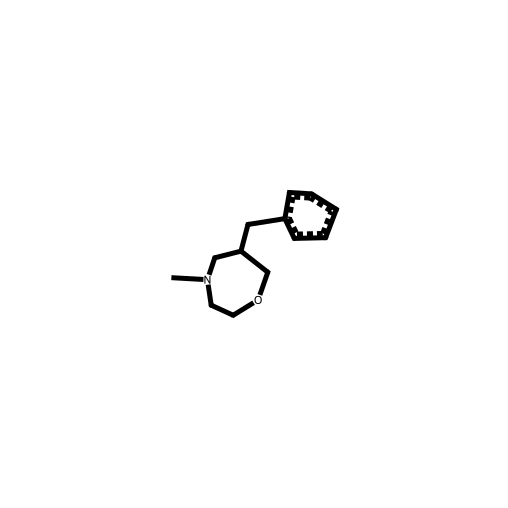 CN1CCOCC(Cc2ccccc2)C1